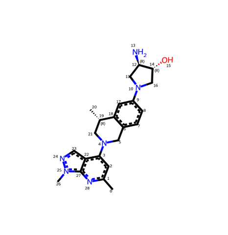 Cc1cc(N2Cc3ccc(N4C[C@@H](N)[C@H](O)C4)cc3[C@@H](C)C2)c2cnn(C)c2n1